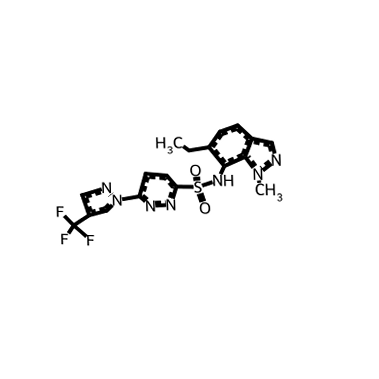 CCc1ccc2cnn(C)c2c1NS(=O)(=O)c1ccc(-n2cc(C(F)(F)F)cn2)nn1